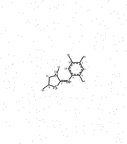 Cc1cc(C)c(N=C2SC(C)CN2C)cc1C